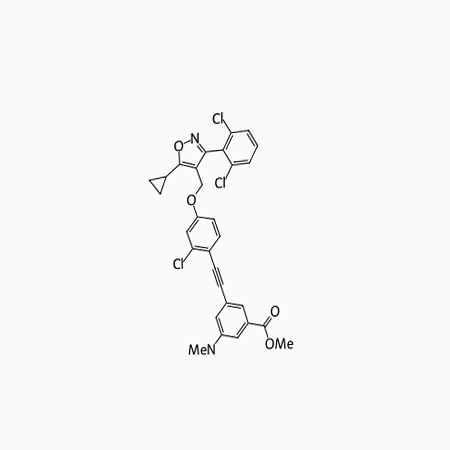 CNc1cc(C#Cc2ccc(OCc3c(-c4c(Cl)cccc4Cl)noc3C3CC3)cc2Cl)cc(C(=O)OC)c1